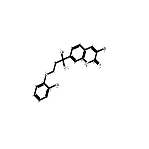 CCc1cc2ccc(C(C)(C#N)CCOc3ccccc3C#N)cc2[nH]c1=O